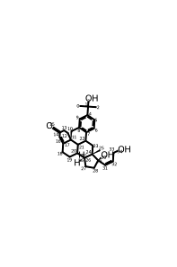 CC(C)(O)c1ccc2c(c1)C[C@]13CCC(=O)C=C1CC[C@@H]1C3C2C[C@@]2(C)[C@H]1CC[C@@]2(O)/C=C\CO